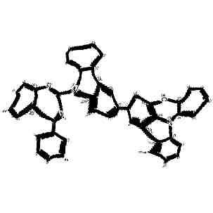 c1ccc(-c2nc(-n3c4ccccc4c4cc(-c5cc6c7c(c5)c5ccccc5n7-c5ccccc5O6)ccc43)nc3ccccc23)cc1